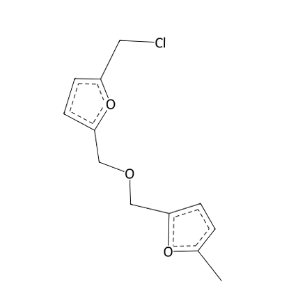 Cc1ccc(COCc2ccc(CCl)o2)o1